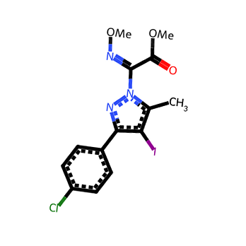 CON=C(C(=O)OC)n1nc(-c2ccc(Cl)cc2)c(I)c1C